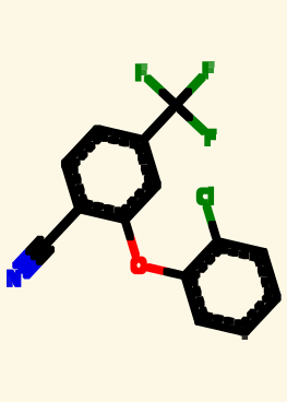 N#Cc1ccc(C(F)(F)F)cc1Oc1c[c]ccc1Cl